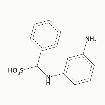 Nc1cccc(NC(c2ccccc2)S(=O)(=O)O)c1